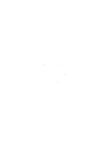 O=C(CC12CC3CC(CC(C3)C1)C2)Nc1ncnc2c1CCN(CCc1ccccc1)C2